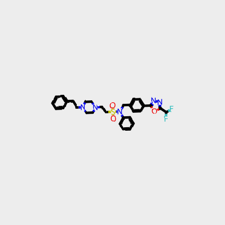 O=S(=O)(CCN1CCN(CCc2ccccc2)CC1)N(Cc1ccc(-c2nnc(C(F)F)o2)cc1)c1ccccc1